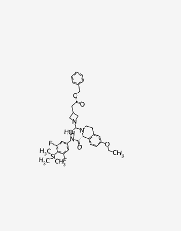 CCOc1ccc2c(c1)CCN(C(O)N1CC(CC(=O)OCc3ccccc3)C1)[C@H]2C(=O)Nc1cc(F)c([Si](C)(C)C)c(F)c1